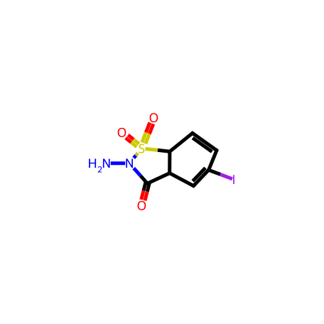 NN1C(=O)C2C=C(I)C=CC2S1(=O)=O